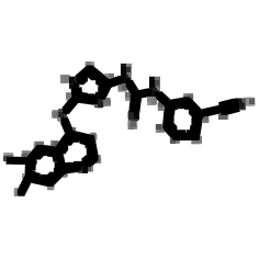 Cc1cc2nccc(Sc3ncc(NC(=O)Nc4cccc(C#N)c4)s3)c2cc1C